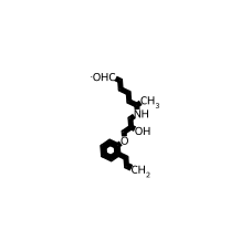 C=CCc1ccccc1OCC(O)CNC(C)CCCC[C]=O